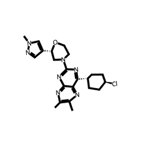 Cc1nc2nc(N3CCO[C@@H](c4cnn(C)c4)C3)nc([C@H]3CC[C@H](Cl)CC3)c2nc1C